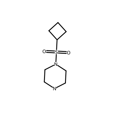 O=S(=O)(C1CCC1)N1CC[N]CC1